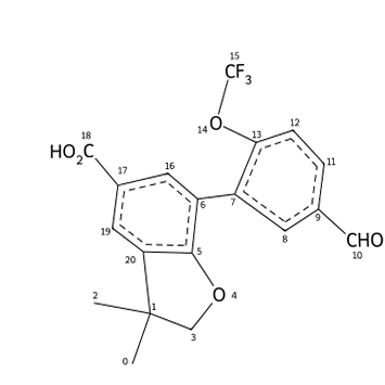 CC1(C)COc2c(-c3cc(C=O)ccc3OC(F)(F)F)cc(C(=O)O)cc21